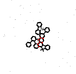 CC1(C)c2ccccc2-c2cc(N(c3ccc(-c4ccccc4-n4c5ccccc5c5ccccc54)cc3)c3cccc(-c4ccccc4)c3-c3ccccc3-c3ccccc3)ccc21